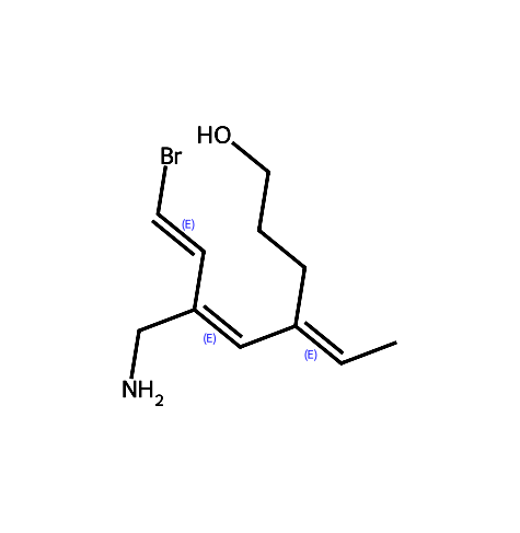 C/C=C(/C=C(\C=C\Br)CN)CCCO